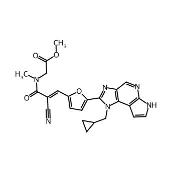 COC(=O)CN(C)C(=O)/C(C#N)=C/c1ccc(-c2nc3cnc4[nH]ccc4c3n2CC2CC2)o1